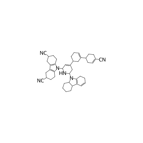 N#CC1=CCC(C2=CCCC(C3=CC(n4c5c(c6c4CCC(C#N)C6)CC(C#N)CC5)NC(N4C5=C(C=CCC5)C5CCCCC54)C3)C2)CC1